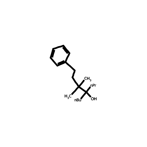 CCCCC(O)(CCC)C(C)(C)CCc1ccccc1